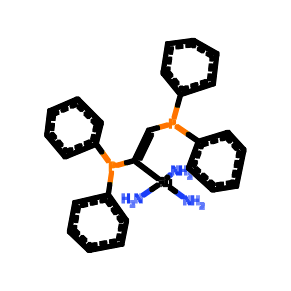 [NH2][Ru]([NH2])([NH2])[C](=CP(c1ccccc1)c1ccccc1)P(c1ccccc1)c1ccccc1